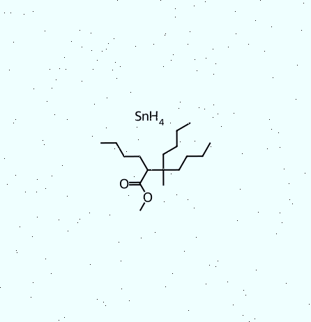 CCCCC(C(=O)OC)C(C)(CCCC)CCCC.[SnH4]